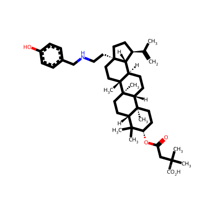 C=C(C)[C@@H]1CC[C@]2(CCNCc3ccc(O)cc3)CC[C@]3(C)[C@H](CC[C@@H]4[C@@]5(C)CC[C@H](OC(=O)CC(C)(C)C(=O)O)C(C)(C)[C@@H]5CC[C@]43C)[C@@H]12